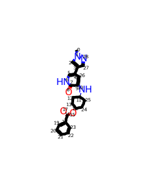 Cn1cc(-c2c[nH]c(=O)c(N[C@H]3CC[C@@H](OC(=O)c4ccccc4)CC3)c2)cn1